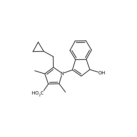 Cc1c(C(=O)O)c(C)n(C2=CC(O)c3ccccc32)c1CC1CC1